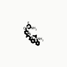 Cc1c(-c2cc3ccc(-c4ccccc4C(N)=O)cc3n2CC2CC2)nn2cc(C(=O)N3C[C@H](N)C[C@@H](F)C3)ccc12